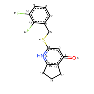 O=c1cc(SCc2cccc(F)c2F)[nH]c2c1CCC2